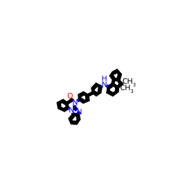 CC1(C)c2ccccc2-c2c(Nc3ccc(-c4ccc(-n5c(=O)c6ccccc6n6c7ccccc7nc56)cc4)cc3)cccc21